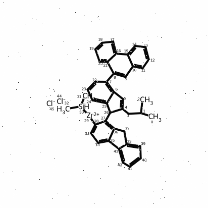 CC(C)CC1=Cc2c(-c3cc4ccccc4c4ccccc34)cccc2C1c1[c]([Zr+2][SiH](C)C)ccc2c1Cc1ccccc1-2.[Cl-].[Cl-]